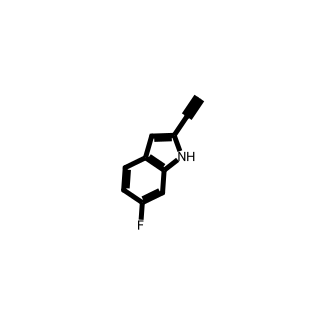 C#Cc1cc2ccc(F)cc2[nH]1